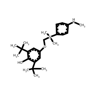 CNc1ccc([Si](C)(C)COc2cc(C(C)(C)C)c(O)c(C(C)(C)C)c2)cc1